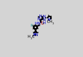 CN1CCC[C@H]1c1nc2ncnc(C(=O)NCc3cc(F)cc(-c4cnn(C)c4)c3)c2[nH]1